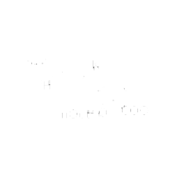 [3H]C(CCCCc1cccc(C(=O)[O-])c1OCCCCCCCC)CC(C)C.[K+]